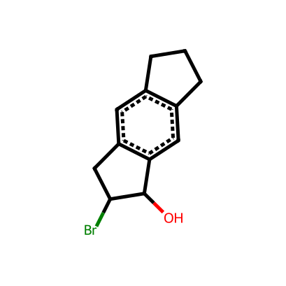 OC1c2cc3c(cc2CC1Br)CCC3